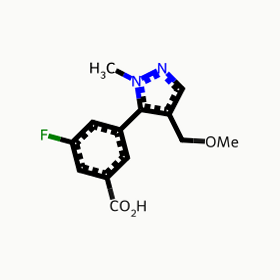 COCc1cnn(C)c1-c1cc(F)cc(C(=O)O)c1